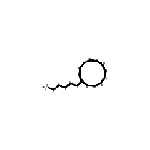 [CH2]CCCCCC1CCCCCCCCCCC1